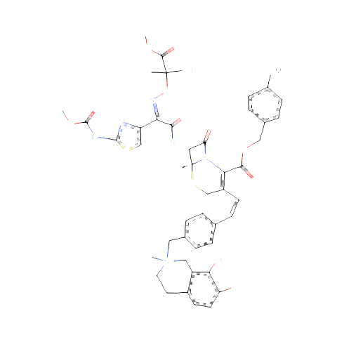 COc1ccc(COC(=O)C2=C(/C=C\c3ccc(C[N+]4(C)CCc5ccc(O)c(O)c5C4)cc3)CS[C@@H]3[C@H](NC(=O)/C(=N\OC(C)(C)C(=O)OC(C)(C)C)c4csc(NC(=O)OC(C)(C)C)n4)C(=O)N23)cc1